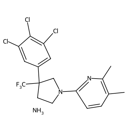 Cc1ccc(N2CCC(c3cc(Cl)c(Cl)c(Cl)c3)(C(F)(F)F)C2)nc1C.N